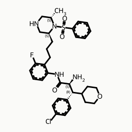 C[C@H]1CNC[C@H](CCCc2c(F)cccc2NC(=O)[C@@H](N)[C@@H](c2ccc(Cl)cc2)C2CCOCC2)N1S(=O)(=O)c1ccccc1